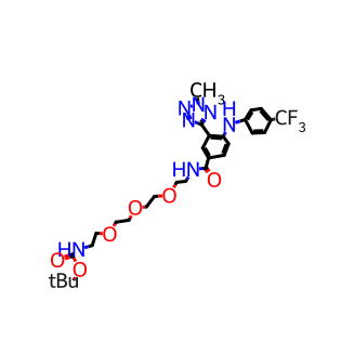 Cn1nnc(-c2cc(C(=O)NCCOCCOCCOCCNC(=O)OC(C)(C)C)ccc2Nc2ccc(C(F)(F)F)cc2)n1